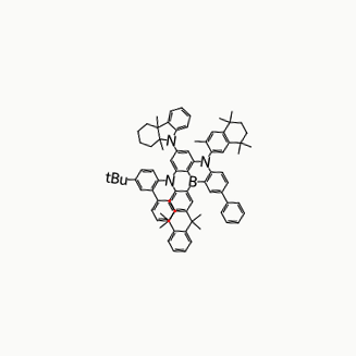 Cc1cc2c(cc1N1c3ccc(-c4ccccc4)cc3B3c4cc5c(cc4N(c4ccc(C(C)(C)C)cc4-c4ccccc4)c4cc(N6c7ccccc7C7(C)CCCCC67C)cc1c43)C(C)(C)c1ccccc1C5(C)C)C(C)(C)CCC2(C)C